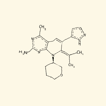 CC(C)=C1C(c2ccn[nH]2)=Cc2c(C)nc(N)nc2N1[C@@H]1CCCOC1